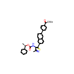 COC(=O)c1ccc(-c2ccc3cc(-c4snc(C)c4NC(=O)O[C@H](C)c4ccccc4)ccc3c2)cc1